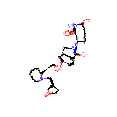 O=C1CCC(N2Cc3cc(OCC4CCCCN4CC4CCOC4)ccc3C2=O)C(=O)N1